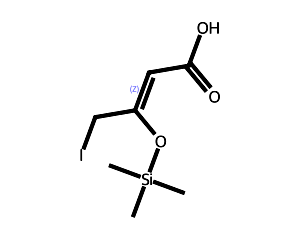 C[Si](C)(C)O/C(=C\C(=O)O)CI